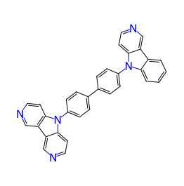 c1ccc2c(c1)c1cnccc1n2-c1ccc(-c2ccc(-n3c4ccncc4c4cnccc43)cc2)cc1